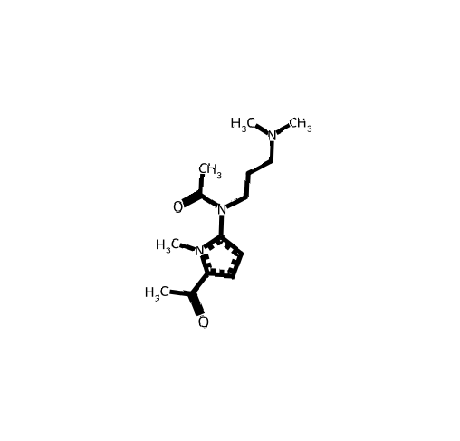 CC(=O)c1ccc(N(CCCN(C)C)C(C)=O)n1C